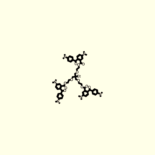 CCC(COCCOC(=O)c1cc(N(C)C)ccc1C(=O)c1ccc(N(C)C)cc1)(COCCOC(=O)c1cc(N(C)C)ccc1C(=O)c1ccc(N(C)C)cc1)COCCOC(=O)c1cc(N(C)C)ccc1C(=O)c1ccc(N(C)C)cc1